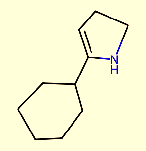 C1=C(C2CCCCC2)NCC1